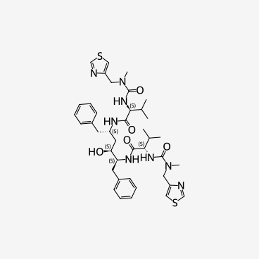 CC(C)[C@H](NC(=O)N(C)Cc1cscn1)C(=O)N[C@@H](Cc1ccccc1)C[C@H](O)[C@H](Cc1ccccc1)NC(=O)[C@@H](NC(=O)N(C)Cc1cscn1)C(C)C